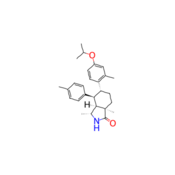 Cc1ccc([C@@H]2[C@@H]3[C@@H](C)NC(=O)[C@]3(C)CC[C@H]2c2ccc(OC(C)C)cc2C)cc1